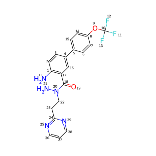 Nc1ccc(-c2ccc(OC(F)(F)F)cc2)cc1C(=O)N(N)CCc1ncccn1